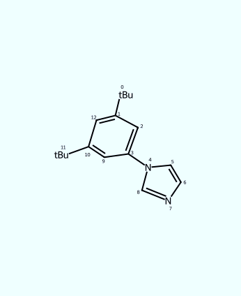 CC(C)(C)c1cc(-n2ccnc2)cc(C(C)(C)C)c1